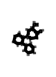 O=c1ccn(-c2ncccc2C2=CC=C=C=C2)cc1O